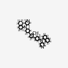 Cn1c(-c2ccc(N(c3ccncc3)c3cccc4c3CCC=C4)cc2)ccc1-c1ccc(N(c2ccncc2)c2cccc3ccccc23)cc1